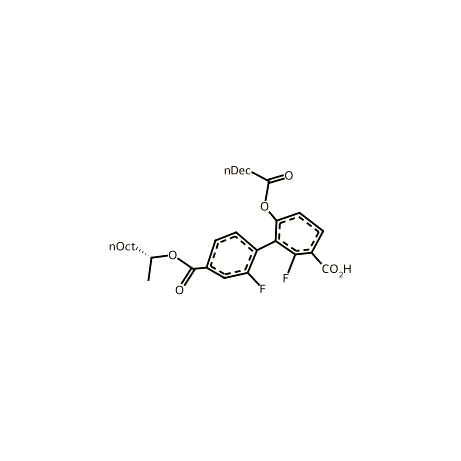 CCCCCCCCCCC(=O)Oc1ccc(C(=O)O)c(F)c1-c1ccc(C(=O)O[C@H](C)CCCCCCCC)cc1F